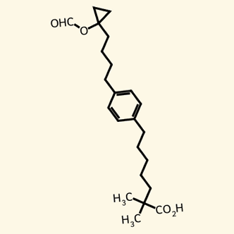 CC(C)(CCCCCc1ccc(CCCCC2(OC=O)CC2)cc1)C(=O)O